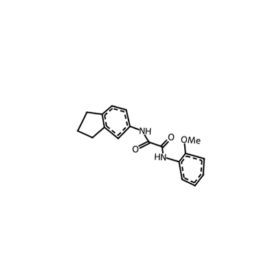 COc1ccccc1NC(=O)C(=O)Nc1ccc2c(c1)CCC2